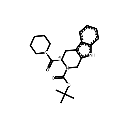 CC(C)(C)OC(=O)N1Cc2[nH]c3ccccc3c2C[C@@H]1C(=O)N1CCCCC1